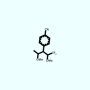 COC(C)C(c1ccc(C#N)cc1)C(OC)C(F)(F)F